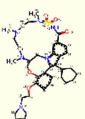 CN1CCN(C)C2COc3c(OCCN4CCCC4)cccc3-c3c(C4CCCCC4)c4ccc(cc4n3C2)C(=O)NS(=O)(=O)N(C)CC1